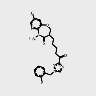 CN1C(=S)C(CCCCC(=O)c2ncn(Cc3ccccc3F)n2)COc2cc(Cl)cnc21